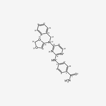 NC(=O)c1ccc(Nc2nccc(N(Cc3ccccc3)C3=COCO3)n2)cc1